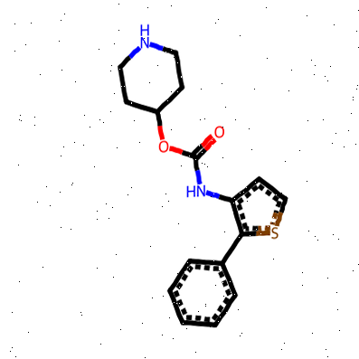 O=C(Nc1ccsc1-c1ccccc1)OC1CCNCC1